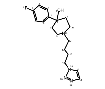 OC1(c2ccc(F)cc2)CCN(CCCCn2ccnn2)CC1